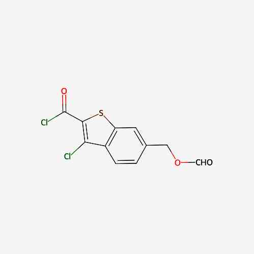 O=COCc1ccc2c(Cl)c(C(=O)Cl)sc2c1